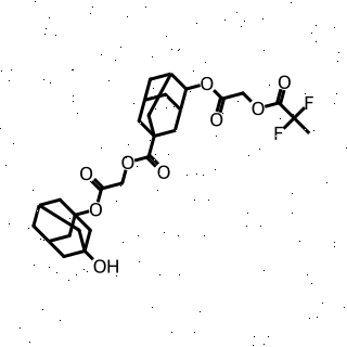 CC(F)(F)C(=O)OCC(=O)OC1C2CC3CC1CC(C(=O)OCC(=O)OC14CC5CC(CC(O)(C5)C1)C4)(C3)C2